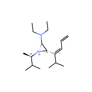 C=C/C=C(/C(C)C)[C@H]1C(N(CC)CC)[N@@]1[C@H](C)C(C)C